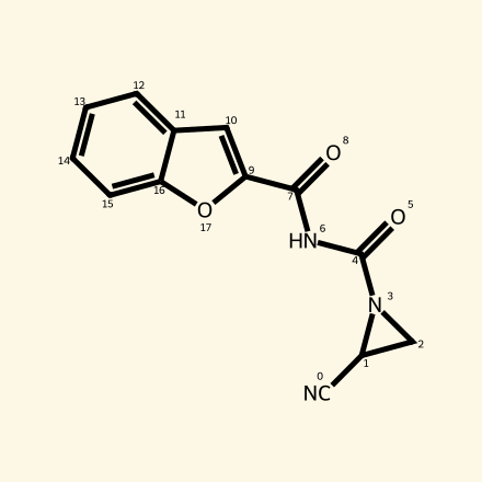 N#CC1CN1C(=O)NC(=O)c1cc2ccccc2o1